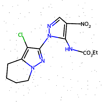 CCOC(=O)Nc1c([N+](=O)[O-])cnn1-c1nn2c(c1Cl)CCCC2